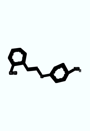 O=Cc1ccccc1/C=C/Oc1ccc([N+](=O)[O-])cc1